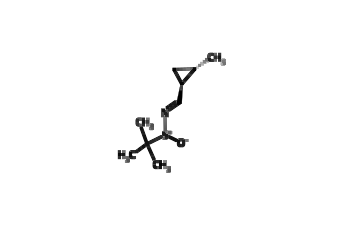 C[C@H]1C[C@@H]1C=N[S+]([O-])C(C)(C)C